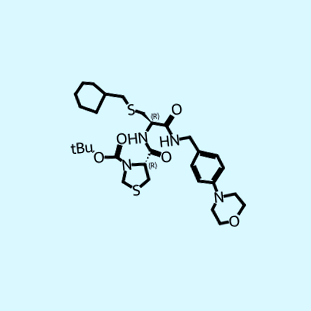 CC(C)(C)OC(=O)N1CSC[C@H]1C(=O)N[C@@H](CSCC1CCCCC1)C(=O)NCc1ccc(N2CCOCC2)cc1